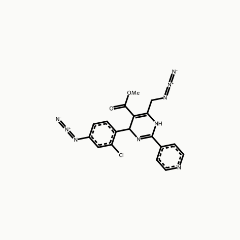 COC(=O)C1=C(CN=[N+]=[N-])NC(c2ccncc2)=NC1c1ccc(N=[N+]=[N-])cc1Cl